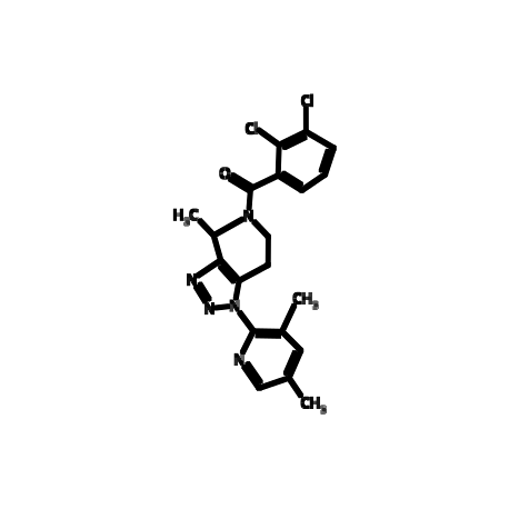 Cc1cnc(-n2nnc3c2CCN(C(=O)c2cccc(Cl)c2Cl)C3C)c(C)c1